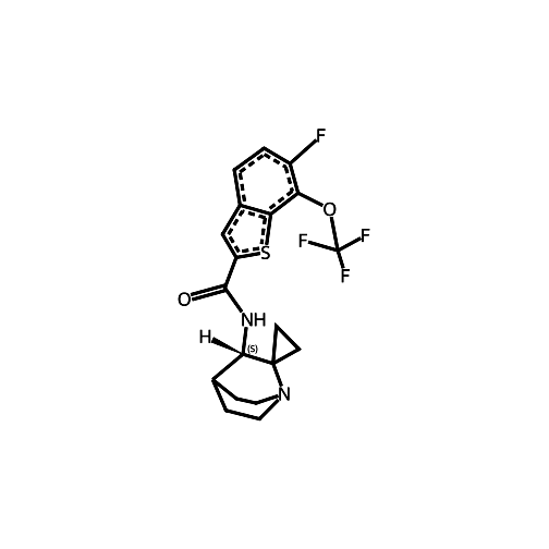 O=C(N[C@H]1C2CCN(CC2)C12CC2)c1cc2ccc(F)c(OC(F)(F)F)c2s1